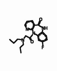 CCCN(CCC)CC(=O)N1c2cc(F)ccc2NC(=O)c2cccnc21